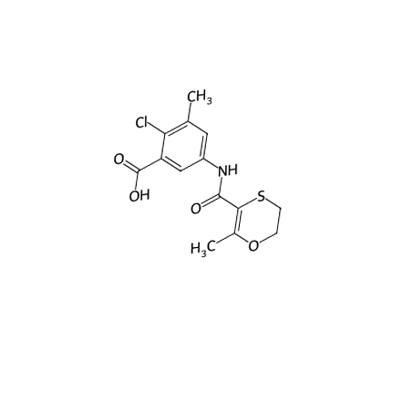 CC1=C(C(=O)Nc2cc(C)c(Cl)c(C(=O)O)c2)SCCO1